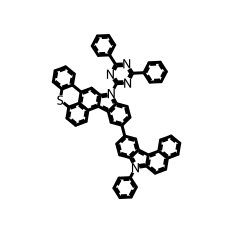 c1ccc(-c2nc(-c3ccccc3)nc(-n3c4ccc(-c5ccc6c(c5)c5c7ccccc7ccc5n6-c5ccccc5)cc4c4c5cccc6c5c(cc43)-c3ccccc3S6)n2)cc1